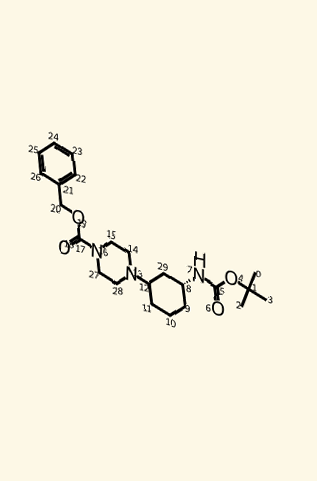 CC(C)(C)OC(=O)N[C@@H]1CCCC(N2CCN(C(=O)OCc3ccccc3)CC2)C1